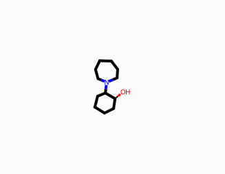 O[C@H]1CCCCC1N1CCCCCC1